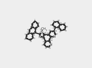 Cn1c(-c2c3ccccc3cc3ccccc23)nc2c3cccnc3c3ncc(-c4cccc5ccccc45)cc3c21